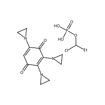 CCC(Cl)OP(=O)(O)O.O=C1C=C(N2CC2)C(=O)C(N2CC2)=C1N1CC1